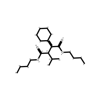 CCCCOC(=O)C(=C1CCCCC1)C(C(=O)OCCCC)C(C)C